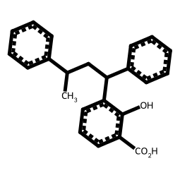 CC(CC(c1ccccc1)c1cccc(C(=O)O)c1O)c1ccccc1